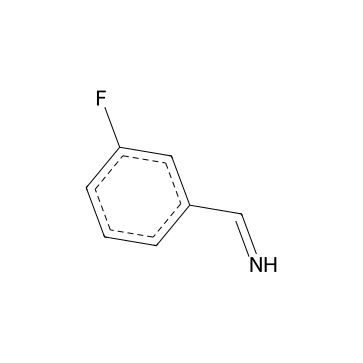 N=Cc1cccc(F)c1